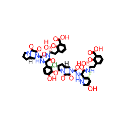 O=C(O)c1cccc2c1OB(O)[C@@H](NC(=O)C(NC(=O)N1C[C@@H]3CCCN3C(=O)C1=O)c1ccc(O)c(OC3CC[C@H]4CN(C(=O)NC(C(=O)N[C@H]5Cc6cccc(C(=O)O)c6OB5O)c5ncc(O)cc5F)C(=O)C(=O)N34)c1Cl)C2